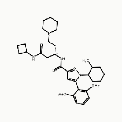 COc1cccc(OC)c1-c1cc(C(=O)N[C@@H](CCN2CCCCC2)CC(=O)NC2CCC2)nn1C1CCCCC1C